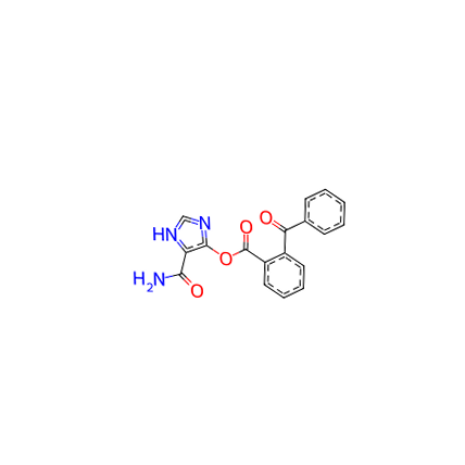 NC(=O)c1[nH]cnc1OC(=O)c1ccccc1C(=O)c1ccccc1